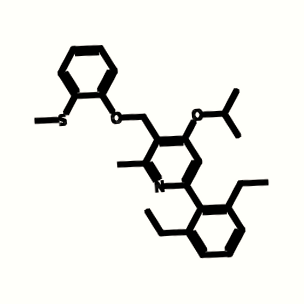 CCc1cccc(CC)c1-c1cc(OC(C)C)c(COc2ccccc2SC)c(C)n1